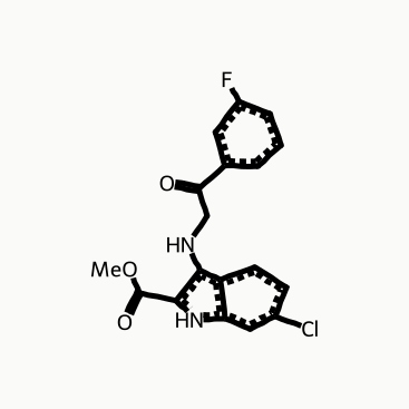 COC(=O)c1[nH]c2cc(Cl)ccc2c1NCC(=O)c1cccc(F)c1